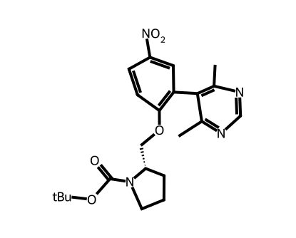 Cc1ncnc(C)c1-c1cc([N+](=O)[O-])ccc1OC[C@@H]1CCCN1C(=O)OC(C)(C)C